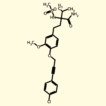 COc1cc(CCC(NS(C)(=O)=O)(C(N)=O)C(C)C)ccc1OCC#Cc1ccc(Cl)cc1